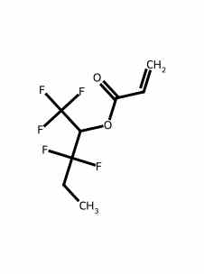 C=CC(=O)OC(C(F)(F)F)C(F)(F)CC